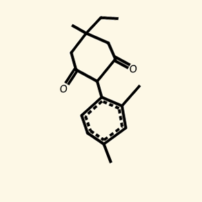 CCC1(C)CC(=O)C(c2ccc(C)cc2C)C(=O)C1